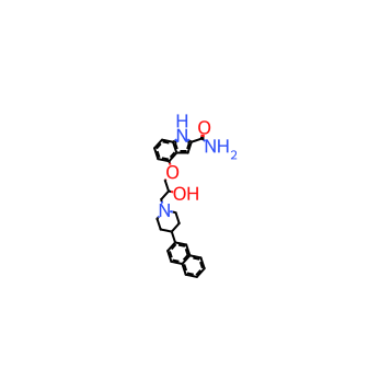 NC(=O)c1cc2c(OCC(O)CN3CCC(c4ccc5ccccc5c4)CC3)cccc2[nH]1